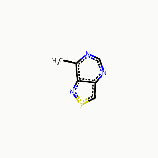 Cc1ncnc2csnc12